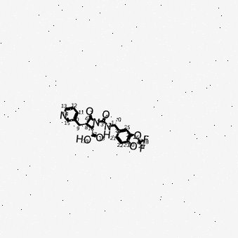 C[C@@H](NC(=O)N1C(=O)[C@H](Cc2cccnc2)[C@H]1C(=O)O)c1ccc2c(c1)OC(F)(F)O2